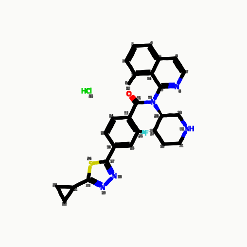 Cc1cccc2ccnc(N(C(=O)c3ccc(-c4nnc(C5CC5)s4)cc3F)[C@@H]3CCCNC3)c12.Cl